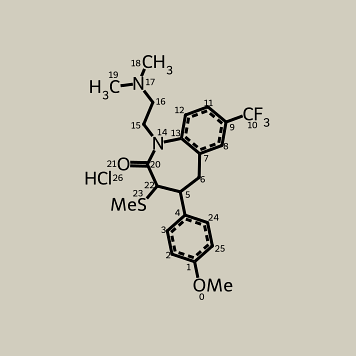 COc1ccc(C2Cc3cc(C(F)(F)F)ccc3N(CCN(C)C)C(=O)C2SC)cc1.Cl